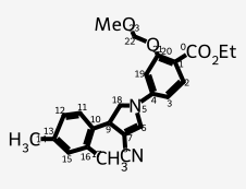 CCOC(=O)c1ccc(N2C=C(C#N)C(c3ccc(C)cc3C)C2)cc1OCOC